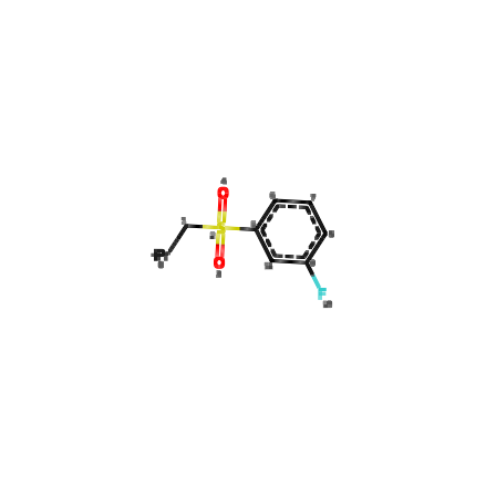 C[C](C)CS(=O)(=O)c1cccc(F)c1